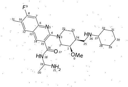 CO[C@H]1CN(c2nc3cc(F)c(C)cc3cc2C(=O)NC(C)N)CC[C@H]1CNC1CCCCC1